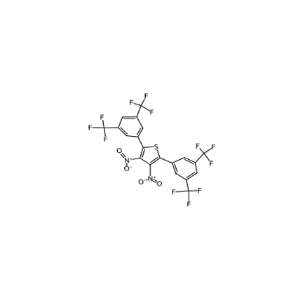 O=[N+]([O-])c1c(-c2cc(C(F)(F)F)cc(C(F)(F)F)c2)sc(-c2cc(C(F)(F)F)cc(C(F)(F)F)c2)c1[N+](=O)[O-]